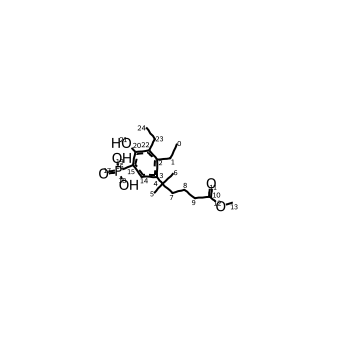 CCc1c(C(C)(C)CCCC(=O)OC)cc(P(=O)(O)O)c(O)c1CC